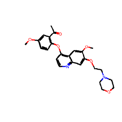 COc1ccc(Oc2ccnc3cc(OCCN4CCOCC4)c(OC)cc23)c(C(C)=O)c1